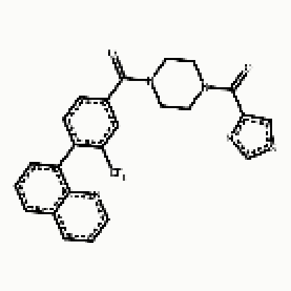 O=C(c1ccc(-c2cccc3cccnc23)c(C(F)(F)F)c1)N1CCN(C(=O)c2cscn2)CC1